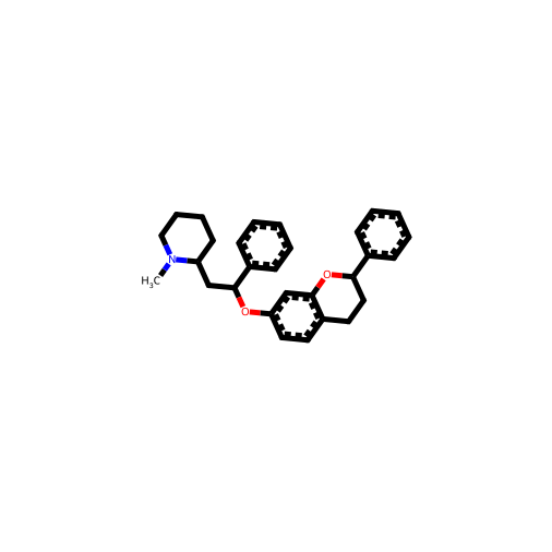 CN1CCCCC1CC(Oc1ccc2c(c1)OC(c1ccccc1)CC2)c1ccccc1